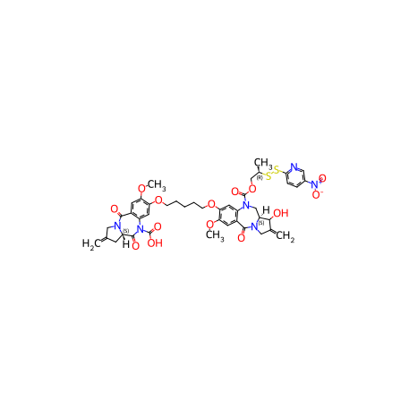 C=C1C[C@H]2C(=O)N(C(=O)O)c3cc(OCCCCCOc4cc5c(cc4OC)C(=O)N4CC(=C)C(O)[C@@H]4CN5C(=O)OC[C@@H](C)SSc4ccc([N+](=O)[O-])cn4)c(OC)cc3C(=O)N2C1